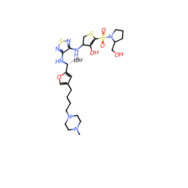 CN1CCN(CCCCc2coc([C@H](Nc3nsnc3NC3CSC(S(=O)(=O)N4CCCC4CO)=C3O)C(C)(C)C)c2)CC1